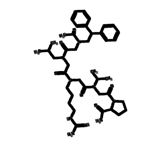 CC(=O)N(CC(=O)N(CC(=O)N(CCCCNC(=N)N)CC(=O)N(CC(=O)N1CCCC1C(N)=O)C(C)C)CC(C)C)CC(c1ccccc1)c1ccccc1